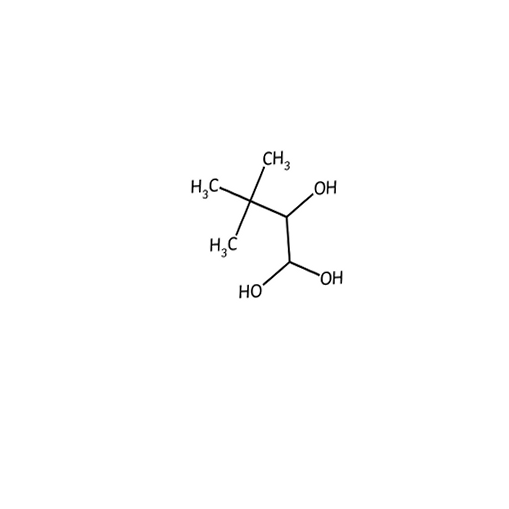 CC(C)(C)C(O)C(O)O